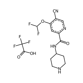 N#Cc1cnc(C(=O)NC2CCNCC2)cc1OC(F)F.O=C(O)C(F)(F)F